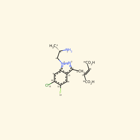 Cc1nn(C[C@H](C)N)c2cc(Cl)c(F)cc12.O=C(O)C=CC(=O)O